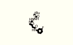 CC(C)(C)OC(=O)NNc1ncc(CC(=O)Nc2cccc(F)c2)s1